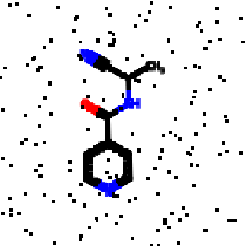 CC(C#N)NC(=O)c1ccncc1